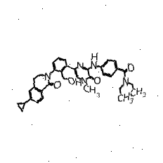 CCN(CC)C(=O)c1ccc(Nc2nc(-c3cccc(N4CCc5cc(C6CC6)ccc5C4=O)c3CO)cn(C)c2=O)cc1